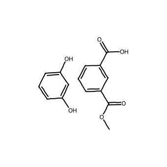 COC(=O)c1cccc(C(=O)O)c1.Oc1cccc(O)c1